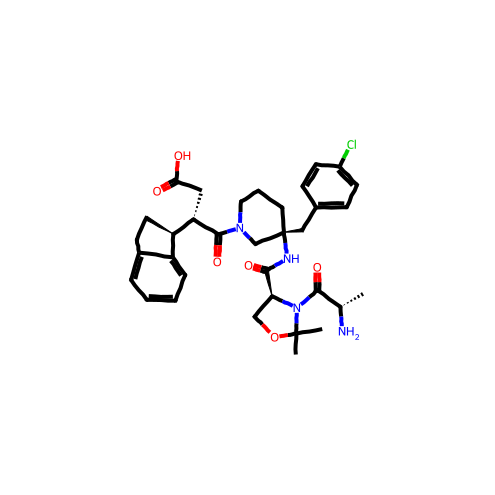 C[C@H](N)C(=O)N1[C@H](C(=O)N[C@@]2(Cc3ccc(Cl)cc3)CCCN(C(=O)[C@@H](CC(=O)O)[C@@H]3CCc4ccccc43)C2)COC1(C)C